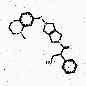 CN1CCOc2ccc(SN3CC4=C(C3)CN(C(=O)C(CO)c3ccccc3)C4)cc21